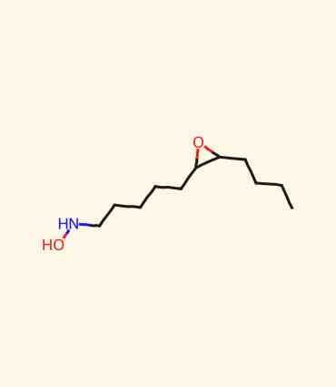 CCCCC1OC1CCCCCNO